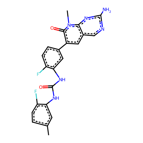 Cc1ccc(F)c(NC(=O)Nc2cc(-c3cc4cnc(N)nc4n(C)c3=O)ccc2F)c1